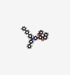 c1ccc(-c2ccc(-c3ccc(N(c4ccc(-c5ccccc5)cc4)c4ccc(-c5cc6oc7ccc8ccccc8c7c6c6c5oc5ccccc56)cc4)cc3)cc2)cc1